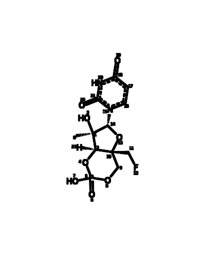 C[C@@]1(O)[C@@H]2OP(=O)(O)OC[C@@]2(CF)O[C@H]1n1ccc(=O)[nH]c1=O